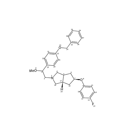 COC(CN1CC2C[C@@H](Oc3ccc(F)cc3)C[C@@H]2C1)c1ccc(OCc2ccccc2)cc1